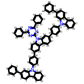 c1ccc(-c2ccc3c4ccccc4n(-c4ccc(-c5ccc6c(c5)c5ccc(-c7ccc(-n8c9ccccc9c9ccc(-c%10ccccc%10)cc98)cc7)cc5n6-c5nc(-c6ccccc6)nc(-c6ccccc6)n5)cc4)c3c2)cc1